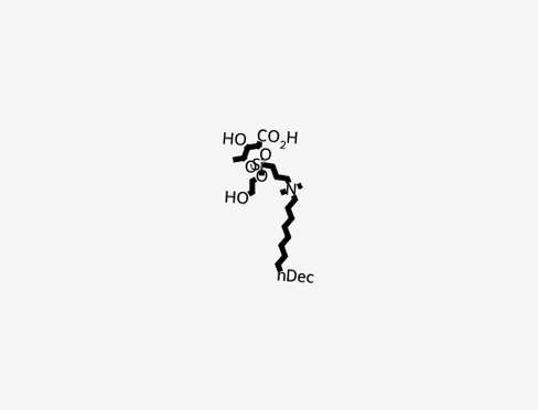 CCCCCCCCCCCCCCCCCC[N+](C)(C)CCC[Si]1(OCCO)OC(C)C(O)C(C(=O)O)O1